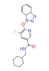 O=C(NCC1CCCCC1)c1cnc(ON2N=NC3C=CC=CC32)c(F)c1